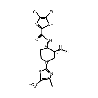 CCN[C@H]1CN(c2nc(C)c(C(=O)O)s2)CC[C@H]1NC(=O)c1nc(Cl)c(CC)[nH]1